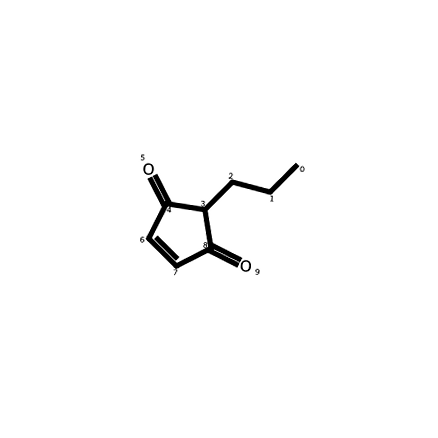 CCCC1C(=O)C=CC1=O